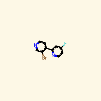 Fc1ccnc(-c2ccn[c]c2Br)c1